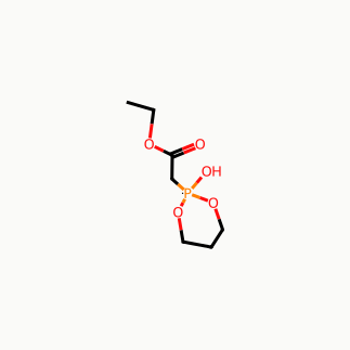 CCOC(=O)C[P]1(O)OCCCO1